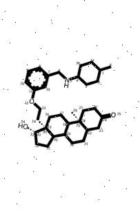 CC1CCC(NCc2cccc(OCC[C@]34CCC5C(CCC6CC(=O)CC[C@@]65C)C3CC[C@@H]4O)c2)CC1